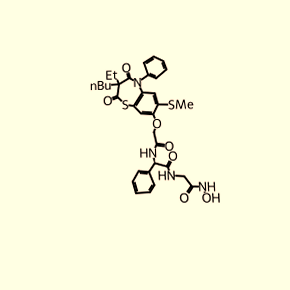 CCCCC1(CC)C(=O)Sc2cc(OCC(=O)N[C@@H](C(=O)NCC(=O)NO)c3ccccc3)c(SC)cc2N(c2ccccc2)C1=O